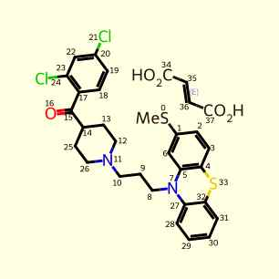 CSc1ccc2c(c1)N(CCCN1CCC(C(=O)c3ccc(Cl)cc3Cl)CC1)c1ccccc1S2.O=C(O)/C=C/C(=O)O